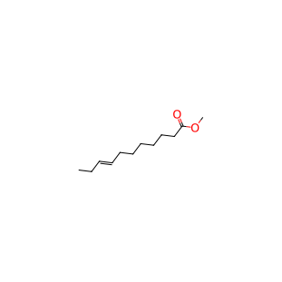 CC/C=C/CCCCCCC(=O)OC